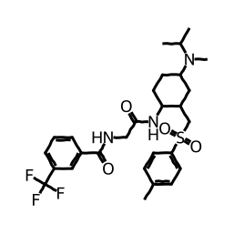 Cc1ccc(S(=O)(=O)CC2CC(N(C)C(C)C)CCC2NC(=O)CNC(=O)c2cccc(C(F)(F)F)c2)cc1